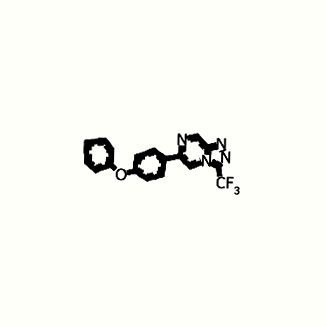 FC(F)(F)c1nnc2cnc(-c3ccc(Oc4ccccc4)cc3)cn12